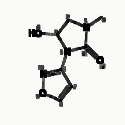 CN1CC(O)N(c2ccon2)C1=O